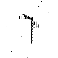 CCCCCCCCCCCCC(O)CNCCN(C)CCNCC(O)CC